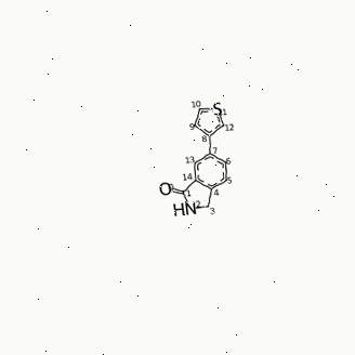 O=C1NCc2ccc(-c3ccsc3)cc21